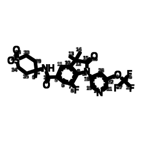 CC1(NC(=O)c2cc(F)c3c(c2)C(C)(C)C(=O)N3c2cncc(OC(F)(F)F)c2)CCS(=O)(=O)CC1